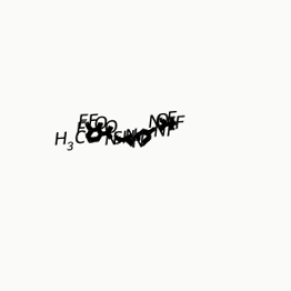 CC1=C(C(F)(F)F)C(=O)C(C(=O)N=[SH]Cc2cn3ccc(-c4noc(C(F)(F)F)n4)cc3n2)C=C1